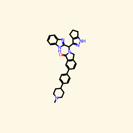 CN1CCC(c2ccc(-c3ccc4c(c3)C(=O)N(C(c3nc5ccccc5[nH]3)c3n[nH]c5c3CCC5)C4)cc2)CC1